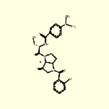 CC(C)C[C@H](NC(=O)c1ccc(N(C)C)cc1)C(=O)N1CCC2[C@H]1C(=O)CN2C(=O)c1ccccc1Cl